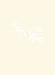 C=C(Cc1ccc(OCCCC)cc1)NC[C@H](O)c1cc(C)cc2nc(O)sc12